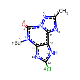 CCCCn1c(=O)n2nc(C)nc2c2[nH]c(Cl)nc21